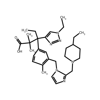 CCC1CCN(Cc2nccn2Cc2cc(C(CC)(c3cn(CC)nn3)C(C)(C)C(=O)O)ccc2C)CC1